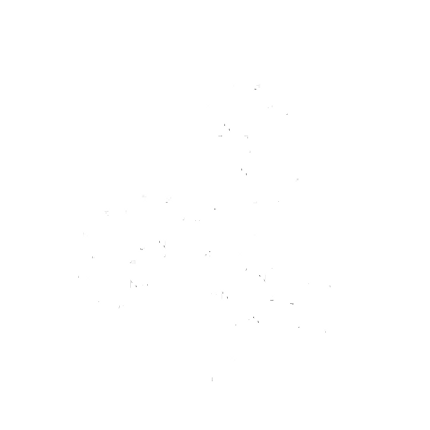 c1ccc(-c2nc(-c3ccccc3)nc(-c3cc(-c4ccc5ccc6cccnc6c5n4)cc(-c4ccc5ccc6cccnc6c5n4)c3)n2)cc1